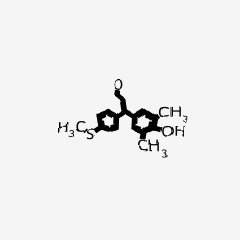 CSc1ccc(/C(=C\C=O)c2cc(C)c(O)c(C)c2)cc1